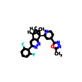 Cc1nnc(-c2ccnc([C@@]34CC[C@@H](c5cc(-c6c(F)cccc6F)nnc53)C4(C)C)c2)o1